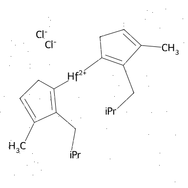 CC1=CC[C]([Hf+2][C]2=C(CC(C)C)C(C)=CC2)=C1CC(C)C.[Cl-].[Cl-]